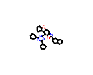 c1ccc(-c2nc(-c3ccccc3)nc(-c3c4oc(-c5ccc6ccccc6c5)nc4cc4oc5ccccc5c34)n2)cc1